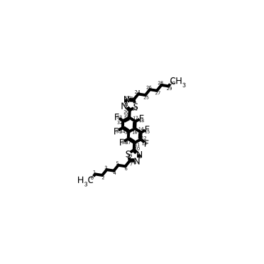 CCCCCCCc1nnc(-c2c(F)c(F)c3c(F)c(-c4nnc(CCCCCCC)s4)c(F)c(F)c3c2F)s1